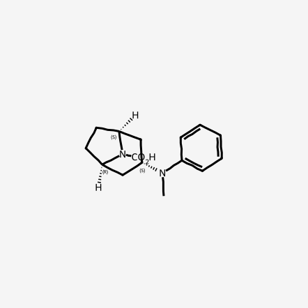 CN(c1ccccc1)[C@@H]1C[C@H]2CC[C@@H](C1)N2C(=O)O